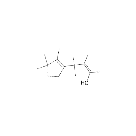 CC(O)=C(C)C(C)(C)C1=C(C)C(C)(C)CC1